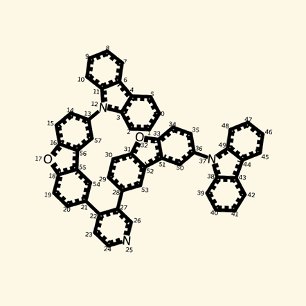 c1ccc2c(c1)c1ccccc1n2-c1ccc2oc3ccc(-c4ccncc4-c4ccc5oc6ccc(-n7c8ccccc8c8ccccc87)cc6c5c4)cc3c2c1